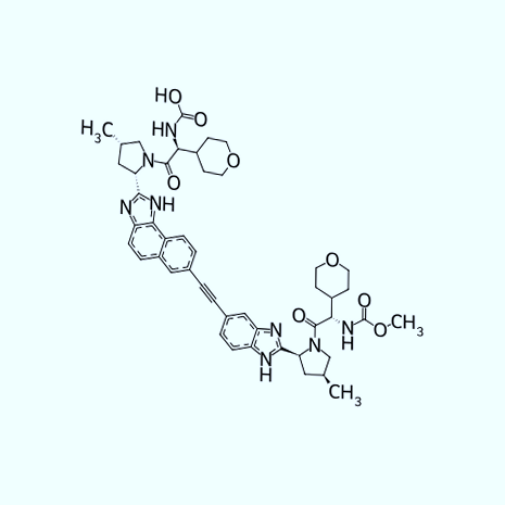 COC(=O)N[C@H](C(=O)N1C[C@@H](C)C[C@H]1c1nc2cc(C#Cc3ccc4c(ccc5nc([C@@H]6C[C@H](C)CN6C(=O)[C@@H](NC(=O)O)C6CCOCC6)[nH]c54)c3)ccc2[nH]1)C1CCOCC1